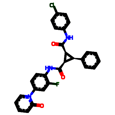 O=C(Nc1ccc(Cl)cc1)[C@@H]1[C@H](C(=O)Nc2ccc(-n3ccccc3=O)cc2F)[C@H]1c1ccccc1